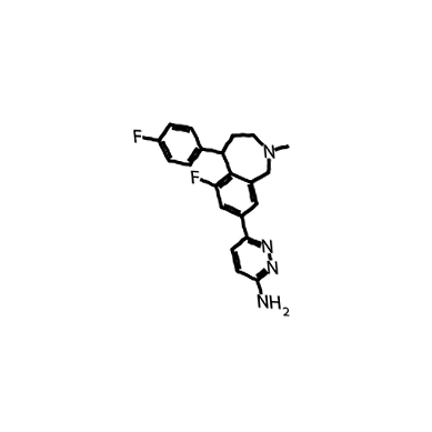 CN1CCC(c2ccc(F)cc2)c2c(F)cc(-c3ccc(N)nn3)cc2C1